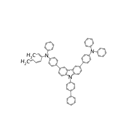 C=C/C=C\C(=C/C)N(c1ccccc1)c1ccc(-c2ccc3c(c2)c2cc(-c4ccc(N(c5ccccc5)c5ccccc5)cc4)ccc2n3-c2ccc(-c3ccccc3)cc2)cc1